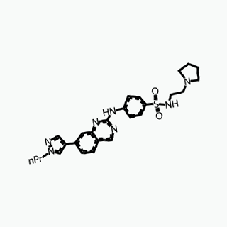 CCCn1cc(-c2ccc3cnc(Nc4ccc(S(=O)(=O)NCCN5CCCC5)cc4)nc3c2)cn1